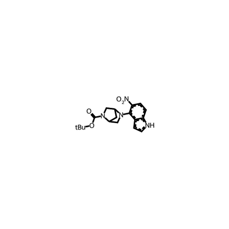 CC(C)(C)OC(=O)N1CC2CC1CN2c1c([N+](=O)[O-])ccc2[nH]ccc12